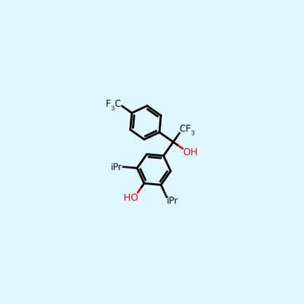 CC(C)c1cc(C(O)(c2ccc(C(F)(F)F)cc2)C(F)(F)F)cc(C(C)C)c1O